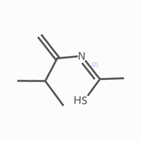 C=C(/N=C(/C)S)C(C)C